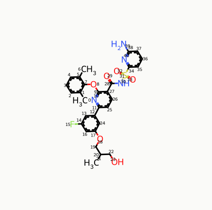 Cc1cccc(C)c1Oc1nc(-c2cc(F)cc(OCC(C)CO)c2)ccc1C(=O)NS(=O)(=O)c1cccc(N)n1